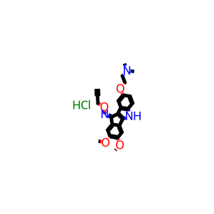 C#CCO/N=C1/c2cc(OC)c(OC)cc2-c2[nH]c3ccc(OCCN(C)C)cc3c21.Cl